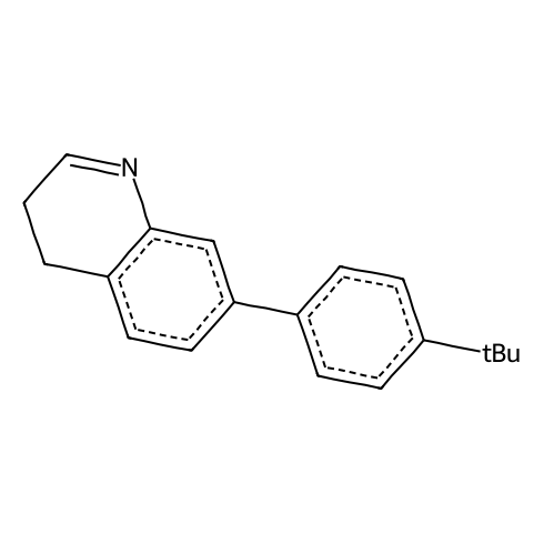 CC(C)(C)c1ccc(-c2ccc3c(c2)N=CCC3)cc1